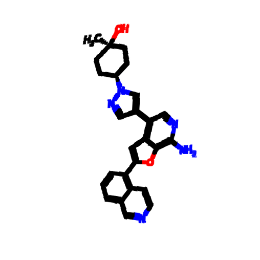 C[C@]1(O)CC[C@@H](n2cc(-c3cnc(N)c4oc(-c5cccc6cnccc56)cc34)cn2)CC1